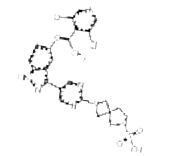 CC(Oc1ccc2[nH]nc(-c3cnc(N4CC5(CCN(S(C)(=O)=O)C5)C4)nc3)c2c1)c1c(Cl)cncc1Cl